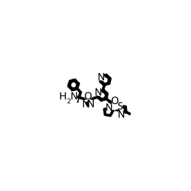 Cc1csc([C@H]2CCCN2C(=O)c2cc(-c3cccnc3)nc(-c3nnc([C@](C)(N)Cc4ccccc4)o3)c2)n1